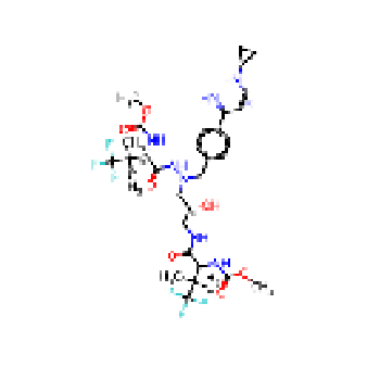 COC(=O)NC(C(=O)NC[C@@H](O)CN(Cc1ccc(C(=N)/C=C\NC2CC2)cc1)NC(=O)[C@@H](NC(=O)OC)C(C)(C)C(F)(F)F)C(C)(C)C(F)(F)F